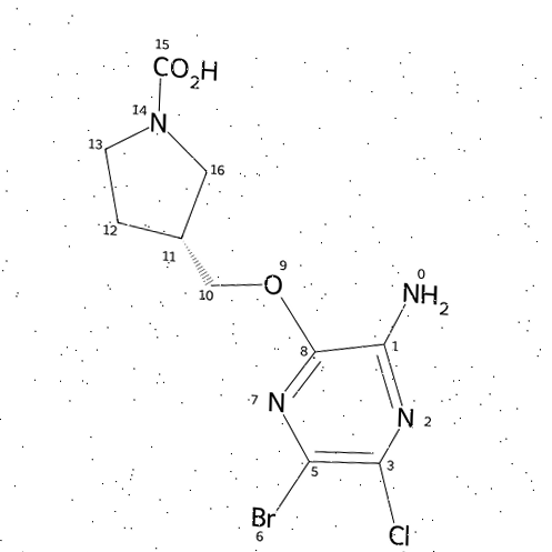 Nc1nc(Cl)c(Br)nc1OC[C@@H]1CCN(C(=O)O)C1